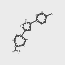 Cc1ccc(-c2cc(-c3ccc(C(=O)O)cc3)on2)cc1